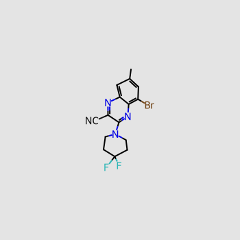 Cc1cc(Br)c2nc(N3CCC(F)(F)CC3)c(C#N)nc2c1